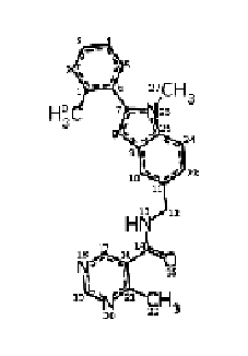 Cc1ccccc1-c1cc2cc(CNC(=O)c3cncnc3C)ccc2n1C